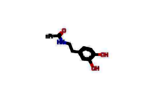 CCCC(=O)NCCc1ccc(O)c(O)c1